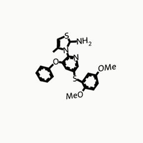 COc1ccc(OC)c(Sc2cnc(N3C(C)=CSC3N)c(Oc3ccccc3)c2)c1